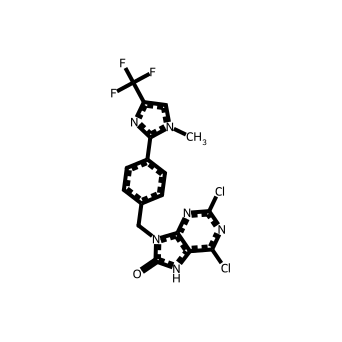 Cn1cc(C(F)(F)F)nc1-c1ccc(Cn2c(=O)[nH]c3c(Cl)nc(Cl)nc32)cc1